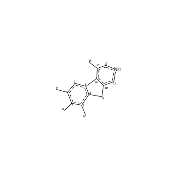 Cc1cc2c(c(C)c1C)Cc1cncc(C)c1-2